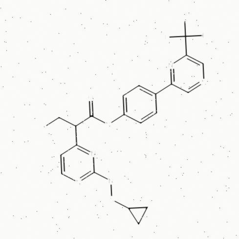 CCC(C(=O)Nc1ccc(-c2cncc(C(F)(F)F)n2)cc1)c1ccnc(NSC2CC2)n1